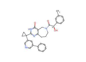 O=C([C@H](O)c1cccc(C(F)(F)F)c1)N1CCCc2nc(C3(c4cncc(-c5ccccc5)c4)CC3)[nH]c(=O)c2C1